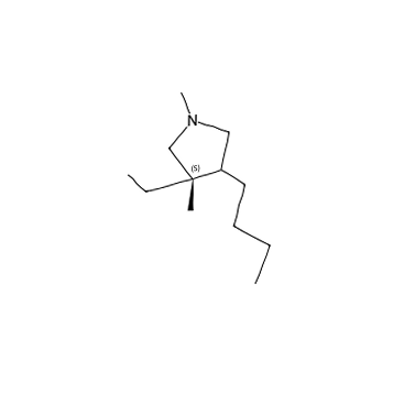 CCCCC1CN(C)C[C@@]1(C)CC